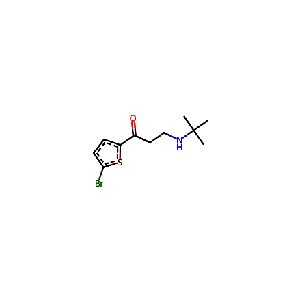 CC(C)(C)NCCC(=O)c1ccc(Br)s1